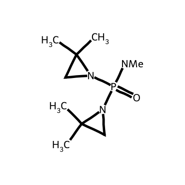 CNP(=O)(N1CC1(C)C)N1CC1(C)C